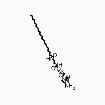 CCC=CCC=CCC=CCC=CCC=CCC=CCCC(=O)NCCNC(=O)OC[C@@H]1O[C@H](n2ccc(N)nc2=O)CS1